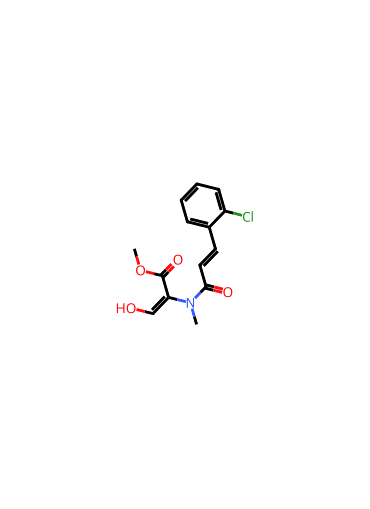 COC(=O)C(=CO)N(C)C(=O)C=Cc1ccccc1Cl